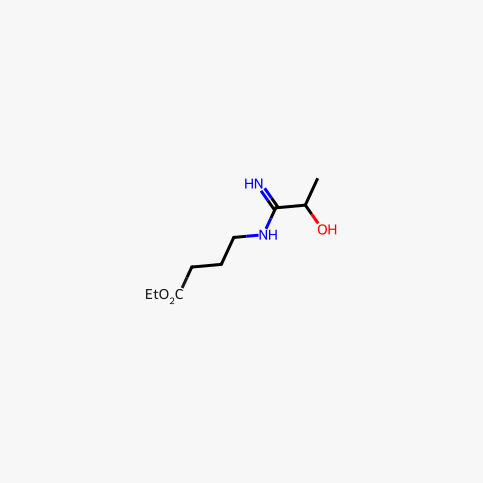 CCOC(=O)CCCNC(=N)C(C)O